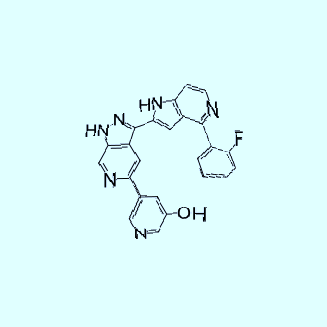 Oc1cncc(-c2cc3c(-c4cc5c(-c6ccccc6F)nccc5[nH]4)n[nH]c3cn2)c1